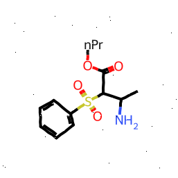 CCCOC(=O)C(C(C)N)S(=O)(=O)c1ccccc1